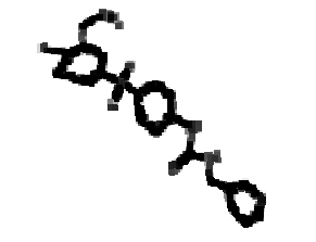 NCc1cc(S(=O)(=O)c2ccc(NC(=O)NCc3cccnc3)cc2)ccc1F